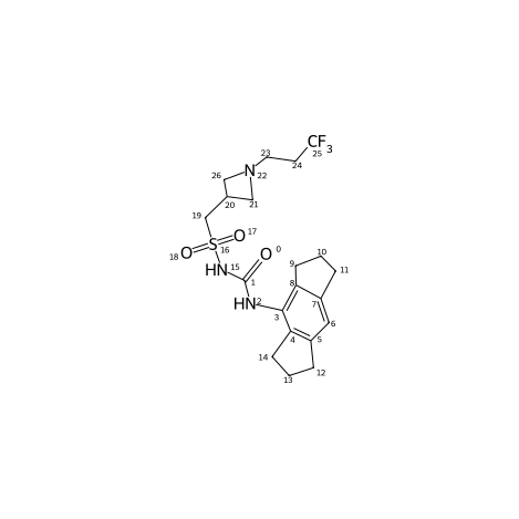 O=C(Nc1c2c(cc3c1CCC3)CCC2)NS(=O)(=O)CC1CN(CCC(F)(F)F)C1